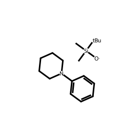 CC(C)(C)[Si](C)(C)[O].c1ccc(N2CCCCC2)cc1